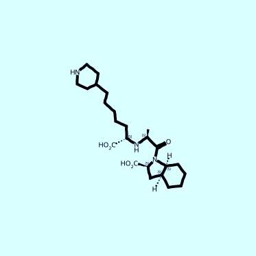 C[C@H](N[C@@H](CCCCCC1CCNCC1)C(=O)O)C(=O)N1[C@H](C(=O)O)C[C@@H]2CCCC[C@@H]21